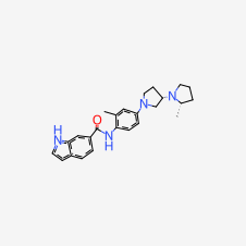 Cc1cc(N2CC[C@H](N3CCC[C@@H]3C)C2)ccc1NC(=O)c1ccc2cc[nH]c2c1